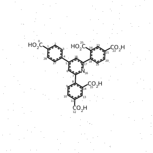 O=C(O)c1ccc(-c2cc(-c3ccc(C(=O)O)cc3C(=O)O)nc(-c3ccc(C(=O)O)cc3C(=O)O)c2)cc1